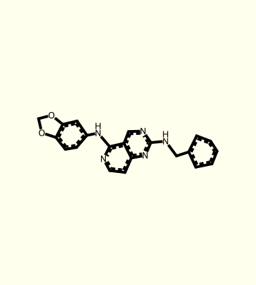 c1ccc(CNc2ncc3c(Nc4ccc5c(c4)OCO5)nccc3n2)cc1